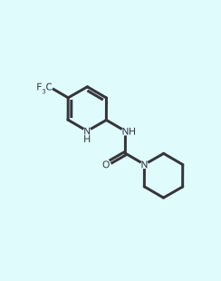 O=C(NC1C=CC(C(F)(F)F)=CN1)N1CCCCC1